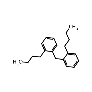 CCCCc1ccccc1[C]c1ccccc1CCCC